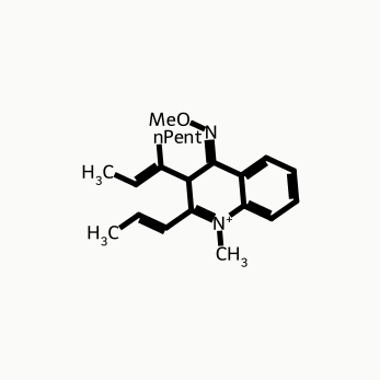 CC=CC1=[N+](C)c2ccccc2C(=NOC)C1C(=CC)CCCCC